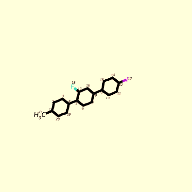 CC1CCC(C2CCC(C3CCC(I)CC3)CC2F)CC1